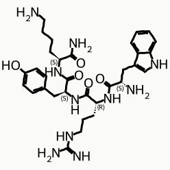 N=C(N)NCCC[C@@H](NC(=O)[C@@H](N)Cc1c[nH]c2ccccc12)C(=O)N[C@@H](Cc1ccc(O)cc1)C(=O)N[C@@H](CCCCN)C(N)=O